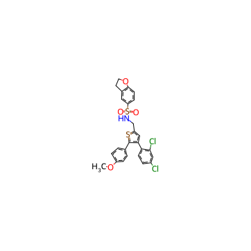 COc1ccc(-c2sc(CNS(=O)(=O)c3ccc4c(c3)CCO4)cc2-c2ccc(Cl)cc2Cl)cc1